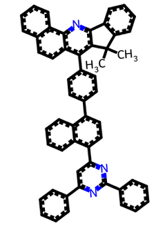 CC1(C)c2ccccc2-c2nc3c(ccc4ccccc43)c(-c3ccc(-c4ccc(-c5cc(-c6ccccc6)nc(-c6ccccc6)n5)c5ccccc45)cc3)c21